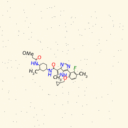 COCC(=O)N[C@H]1CC[C@@H](NC(=O)c2c(C)[nH]c3c(-c4c(OCC5CC5)ccc(C)c4F)ncnc23)C[C@H]1C